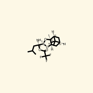 CC(C)C[C@](N)(OC(=O)C(F)(F)F)B1O[C@@H]2C[C@@H]3C[C@@H](C3(C)C)[C@]2(C)O1